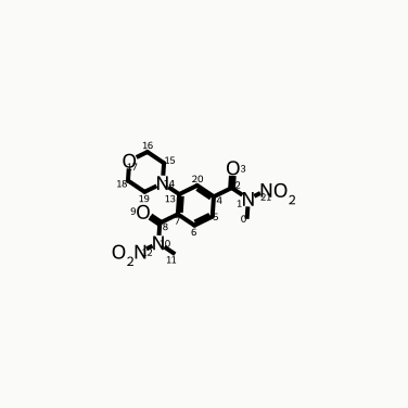 CN(C(=O)c1ccc(C(=O)N(C)[N+](=O)[O-])c(N2CCOCC2)c1)[N+](=O)[O-]